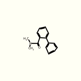 CN(C)C(=O)c1ccccc1-c1cc[c]cc1